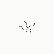 C=CCC1CCCC1(CC=C)CC=C